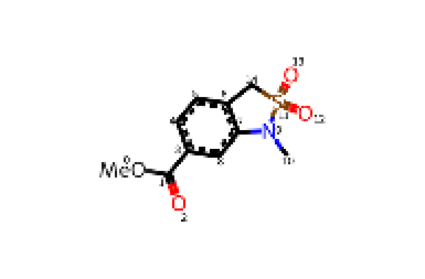 COC(=O)c1ccc2c(c1)N(C)S(=O)(=O)C2